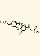 CCOC(=O)C=C1CC=C(Nc2nc(Cl)cc(NCC(=O)OC)n2)C(=O)C1